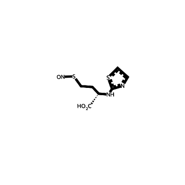 O=NSCC[C@H](Nc1nccs1)C(=O)O